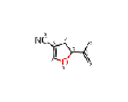 C=C(C)C1CC(C#N)=CO1